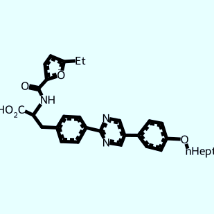 CCCCCCCOc1ccc(-c2cnc(-c3ccc(CC(NC(=O)c4ccc(CC)o4)C(=O)O)cc3)nc2)cc1